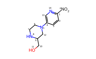 O=[N+]([O-])c1ccc(N2CCNC(CO)C2)cn1